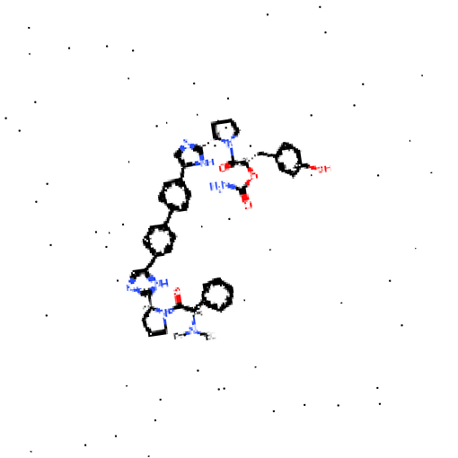 CCN(CC)[C@@H](C(=O)N1CCC[C@H]1c1ncc(-c2ccc(-c3ccc(-c4cnc([C@@H]5CCCN5C(=O)[C@H](Cc5ccc(O)cc5)OC(N)=O)[nH]4)cc3)cc2)[nH]1)c1ccccc1